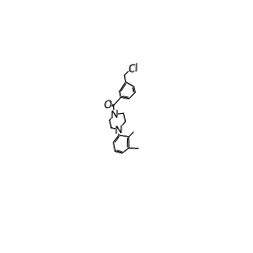 Cc1cccc(N2CCN(C(=O)c3cccc(CCl)c3)CC2)c1C